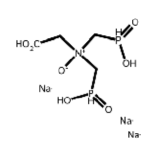 O=C(O)C[N+]([O-])(C[PH](=O)O)C[PH](=O)O.[Na].[Na].[Na]